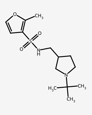 Cc1occc1S(=O)(=O)NCC1CCN(C(C)(C)C)C1